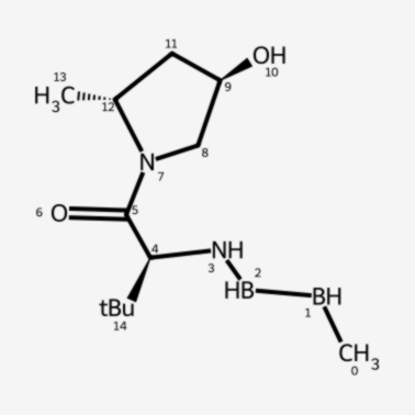 CBBN[C@H](C(=O)N1C[C@H](O)C[C@H]1C)C(C)(C)C